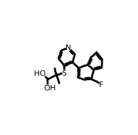 CC(C)(Sc1ccncc1-c1ccc(F)c2ccccc12)C(O)O